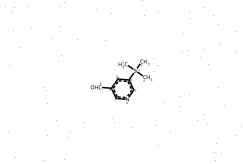 C[Si](C)(C)c1cncc(C=O)c1